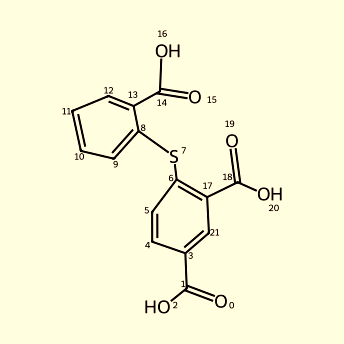 O=C(O)c1ccc(Sc2ccccc2C(=O)O)c(C(=O)O)c1